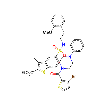 CCOC(=O)c1sc2ccc(S(=O)(=O)N(CCc3ccccc3OC)c3ccccc3N3CCN(C(=O)c4sccc4Br)CC3)cc2c1C